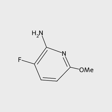 COc1ccc(F)c(N)n1